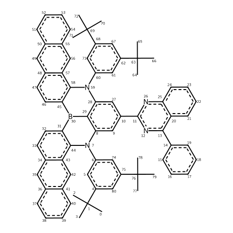 CC(C)(C)c1cc(N2c3cc(-c4nc(-c5ccccc5)c5ccccc5n4)cc4c3B(c3ccc5cc6ccccc6cc5c32)c2ccc3cc5ccccc5cc3c2N4c2cc(C(C)(C)C)cc(C(C)(C)C)c2)cc(C(C)(C)C)c1